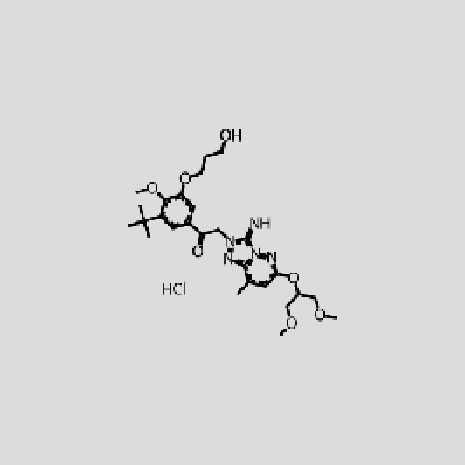 COCC(COC)Oc1cc(C)c2nn(CC(=O)c3cc(OCCCO)c(OC)c(C(C)(C)C)c3)c(=N)n2n1.Cl